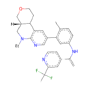 C=C(Nc1ccc(C)c(-c2cnc3c(c2)C2CCOC[C@H]2CN3CC)c1)c1ccnc(C(C)(F)F)c1